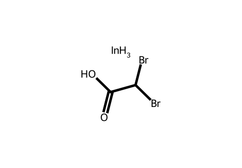 O=C(O)C(Br)Br.[InH3]